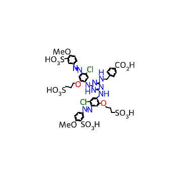 COc1ccc(N=Nc2cc(OCCCS(=O)(=O)O)c(Nc3nc(NCc4ccc(C(=O)O)cc4)nc(Nc4cc(Cl)c(N=Nc5ccc(OC)c(S(=O)(=O)O)c5)cc4OCCCS(=O)(=O)O)n3)cc2Cl)cc1S(=O)(=O)O